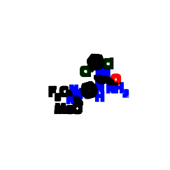 COCc1nc(C(F)(F)F)nn1-c1ccc(Nc2cn(-c3c(Cl)cccc3Cl)nc2C(N)=O)cc1